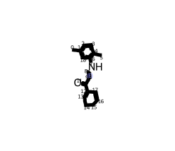 Cc1ccc(C)c(N/C=C/C(=O)C2=CCCC=C2)c1